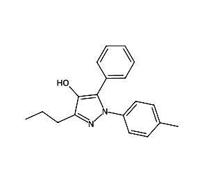 CCCc1nn(-c2ccc(C)cc2)c(-c2ccccc2)c1O